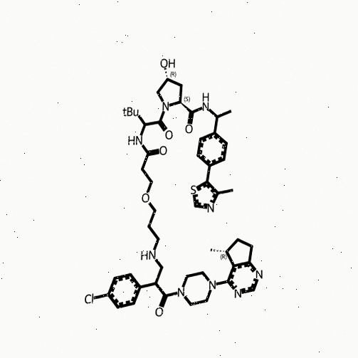 Cc1ncsc1-c1ccc(C(C)NC(=O)[C@@H]2C[C@@H](O)CN2C(=O)C(NC(=O)CCOCCCNCC(C(=O)N2CCN(c3ncnc4c3[C@H](C)CC4)CC2)c2ccc(Cl)cc2)C(C)(C)C)cc1